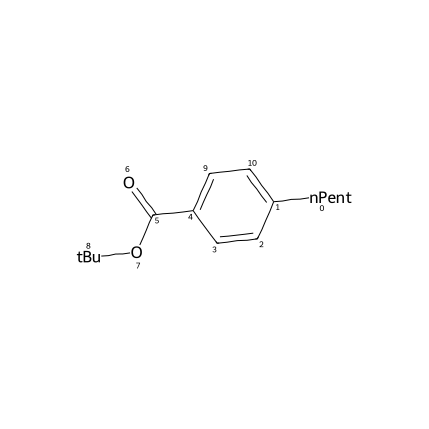 CCCCCc1ccc(C(=O)OC(C)(C)C)cc1